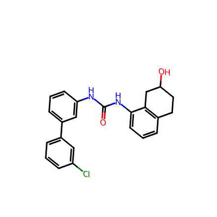 O=C(Nc1cccc(-c2cccc(Cl)c2)c1)Nc1cccc2c1CC(O)CC2